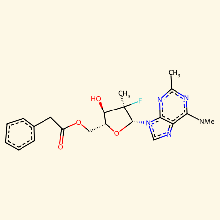 CNc1nc(C)nc2c1ncn2[C@@H]1O[C@H](COC(=O)Cc2ccccc2)[C@@H](O)[C@@]1(C)F